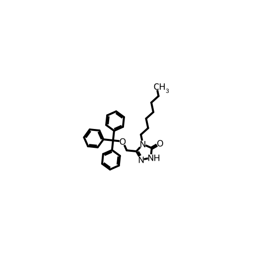 CCCCCCCn1c(COC(c2ccccc2)(c2ccccc2)c2ccccc2)n[nH]c1=O